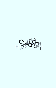 CCC1(OC(=O)c2ccc(C(C)C(C)(C)CC)cc2)CCCCC1